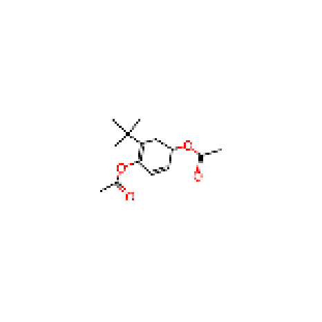 CC(=O)O[C]1C=CC(OC(C)=O)=C(C(C)(C)C)C1